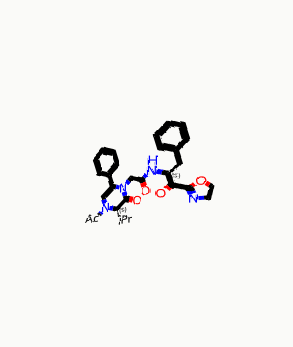 CC(=O)N1C=C(c2ccccc2)N(CC(=O)N[C@@H](Cc2ccccc2)C(=O)C2=NCCO2)C(=O)[C@@H]1C(C)C